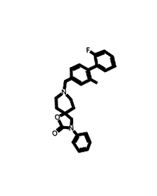 Cc1cc(CN2CCC3(CC2)CN(c2ccccc2)C(=O)O3)ccc1-c1ccccc1F